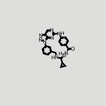 NC(=O)c1ccc(Nc2ncc3nnn(-c4cccc(CNC(=O)C5CC5)c4)c3n2)cc1